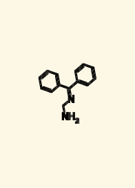 NCN=C(c1ccccc1)c1ccccc1